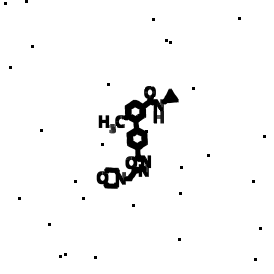 Cc1ccc(C(=O)NC2CC2)cc1-c1ccc(-c2nnc(CN3CCOCC3)o2)cc1